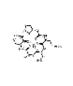 CSCC[C@H](NC(=O)O[C@H]1CCOC1)C(=O)N[C@@H](CC(C)C)[C@@H](O)C[C@@H](C)C(=O)N[C@@H](CC(C)C)C(=O)NC(C)C